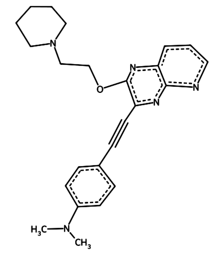 CN(C)c1ccc(C#Cc2nc3ncccc3nc2OCCN2CCCCC2)cc1